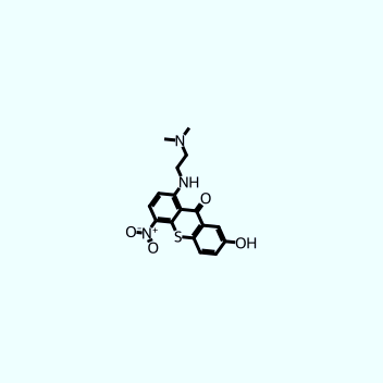 CN(C)CCNc1ccc([N+](=O)[O-])c2sc3ccc(O)cc3c(=O)c12